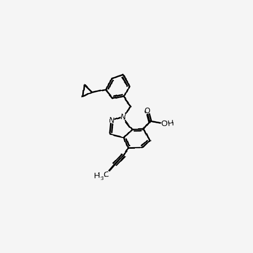 CC#Cc1ccc(C(=O)O)c2c1cnn2Cc1cccc(C2CC2)c1